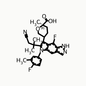 Cc1cc(-n2c(C(C)(C)CC#N)c(C3CC[C@](C)(C(=O)O)OC3)c3c(F)c4[nH]ncc4cc32)ccc1F